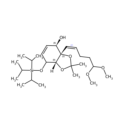 COC(CC/C=C\[C@@]12OC(C)(C)O[C@@H]1C(O[Si](C(C)C)(C(C)C)C(C)C)C=C[C@H]2O)OC